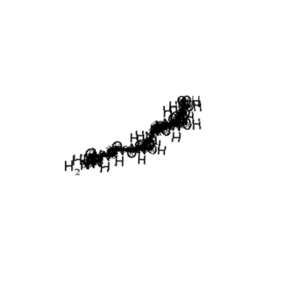 Nc1nc2ncc(CNc3ccc(C(=O)NCCCC(=O)NCC(=O)N[C@@H](CC(=O)O)C(=O)NCC(=O)NCCN4CCN(CC(=O)NCC(=O)N[C@@H](CC(=O)O)C(=O)NCC(=O)NC(CS)C(=O)O)CC4)cc3)nc2c(=O)[nH]1